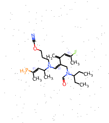 C=C(/C=C(\C)F)/C(=C\N(CCCOC#N)C(C)/C=C(\C)P)CN(C=O)C(CC)CC